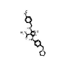 NC(=O)c1c(Nc2ccc(CN3CCCC3)cc2)n[nH]c1NCc1ccc(N=O)cc1